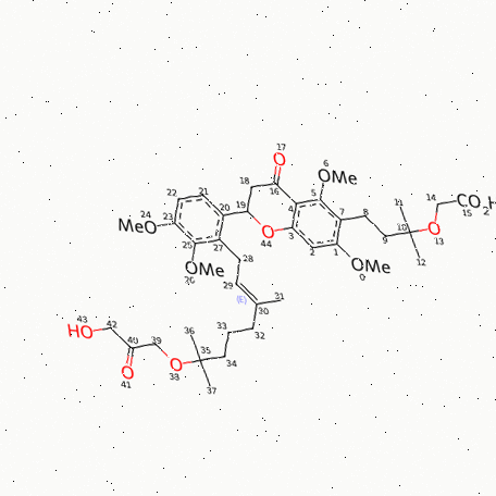 COc1cc2c(c(OC)c1CCC(C)(C)OCC(=O)O)C(=O)CC(c1ccc(OC)c(OC)c1C/C=C(\C)CCCC(C)(C)OCC(=O)CO)O2